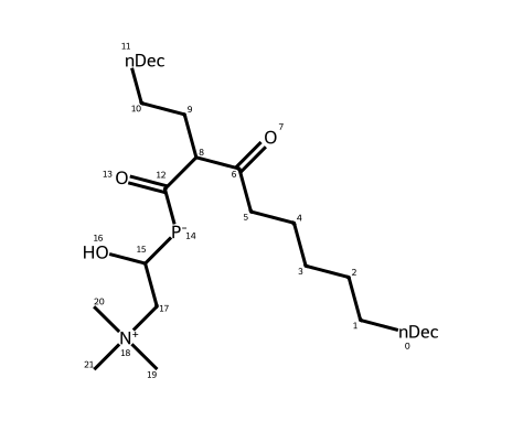 CCCCCCCCCCCCCCCC(=O)C(CCCCCCCCCCCC)C(=O)[P-]C(O)C[N+](C)(C)C